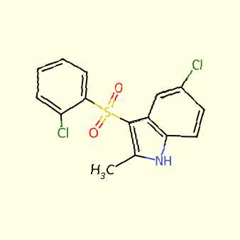 Cc1[nH]c2ccc(Cl)cc2c1S(=O)(=O)c1ccccc1Cl